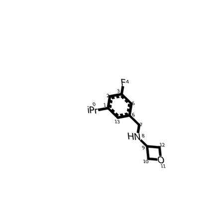 CC(C)c1cc(F)cc(CNC2COC2)c1